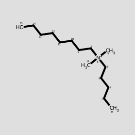 CCCCC[N+](C)(C)CCCCCCCO